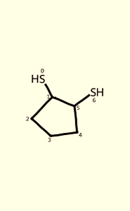 S[C]1CCCC1S